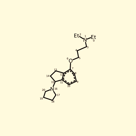 CCN(CC)CCCOc1cccc2c1CCC2N1CCCC1